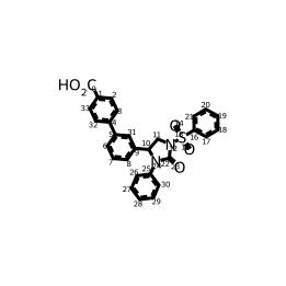 O=C(O)c1ccc(-c2cccc(C3CN(S(=O)(=O)c4ccccc4)C(=O)N3c3ccccc3)c2)cc1